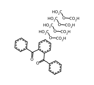 O=C(O)OC(=O)O.O=C(O)OC(=O)O.O=C(O)OC(=O)O.O=C(O)OC(=O)O.O=C(c1ccccc1)c1ccccc1C(=O)c1ccccc1